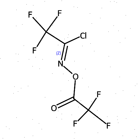 O=C(O/N=C(\Cl)C(F)(F)F)C(F)(F)F